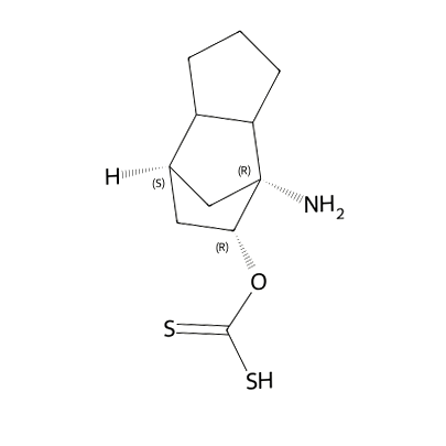 N[C@@]12C[C@@H](C[C@H]1OC(=S)S)C1CCCC12